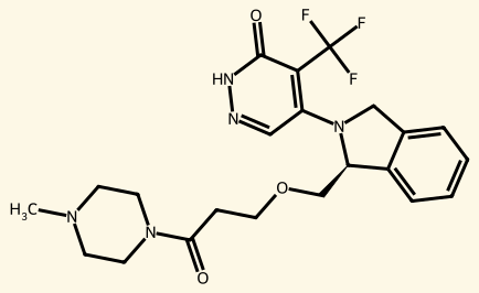 CN1CCN(C(=O)CCOC[C@@H]2c3ccccc3CN2c2cn[nH]c(=O)c2C(F)(F)F)CC1